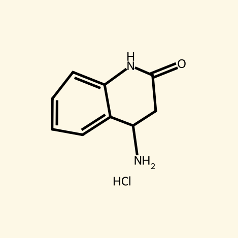 Cl.NC1CC(=O)Nc2ccccc21